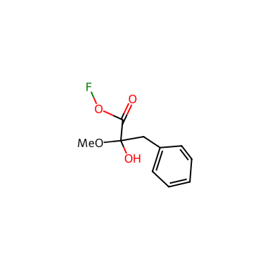 COC(O)(Cc1ccccc1)C(=O)OF